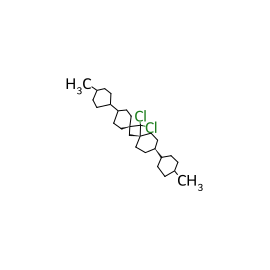 CC1CCC(C2CC[C@]3(CC2)C[C@@]2(CC[C@H](C4CCC(C)CC4)CC2)C3(Cl)Cl)CC1